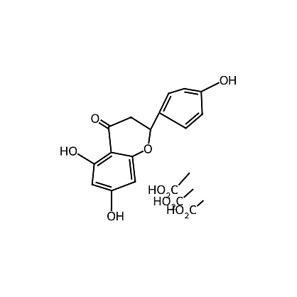 CC(=O)O.CC(=O)O.CC(=O)O.O=C1CC(c2ccc(O)cc2)Oc2cc(O)cc(O)c21